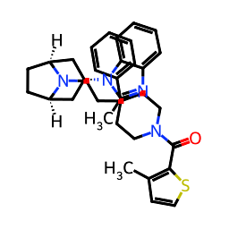 Cc1ccsc1C(=O)N1CCC(CCN2[C@@H]3CC[C@H]2C[C@H](n2c(C)nc4ccccc42)C3)(c2ccccc2)CC1